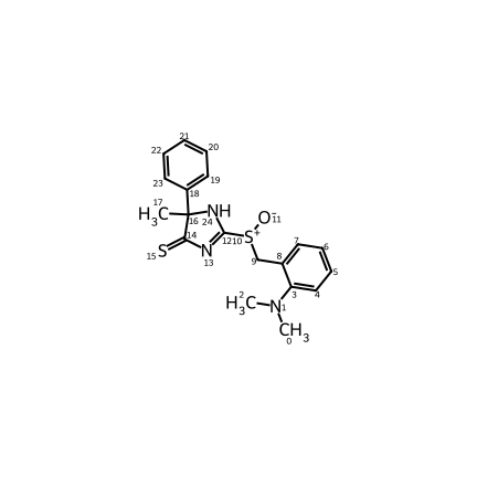 CN(C)c1ccccc1C[S+]([O-])C1=NC(=S)C(C)(c2ccccc2)N1